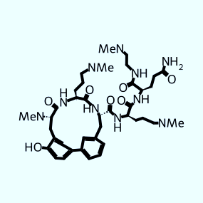 CNCCC[C@@H]1NC(=O)[C@@H](NC)Cc2cc(ccc2O)-c2cccc(c2)C[C@@H](C(=O)N[C@H](CCCNC)C(=O)N[C@H](CCC(N)=O)C(=O)NCCNC)NC1=O